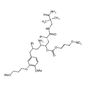 COCCCOc1cc(CC(CC(N)C(CC(C(=O)NCC(C)(C)C(N)=O)C(C)C)OC(=O)OCCCO[N+](=O)[O-])C(C)C)ccc1OC